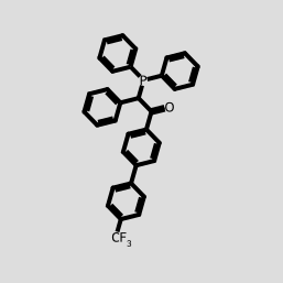 O=C(c1ccc(-c2ccc(C(F)(F)F)cc2)cc1)C(c1ccccc1)P(c1ccccc1)c1ccccc1